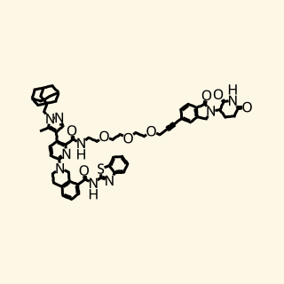 Cc1c(-c2ccc(N3CCc4cccc(C(=O)Nc5nc6ccccc6s5)c4C3)nc2C(=O)NCCOCCOCCOCC#Cc2ccc3c(c2)CN(C2CCC(=O)NC2=O)C3=O)cnn1CC12CC3CC(CC(C3)C1)C2